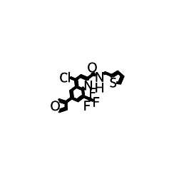 O=C(NCc1cccs1)c1cc(Cl)c2cc(-c3ccoc3)cc(C(F)(F)F)c2n1